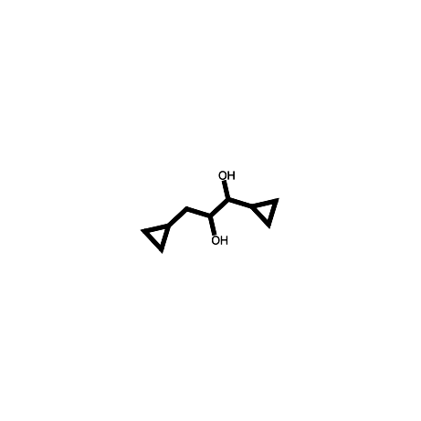 OC(CC1CC1)C(O)C1CC1